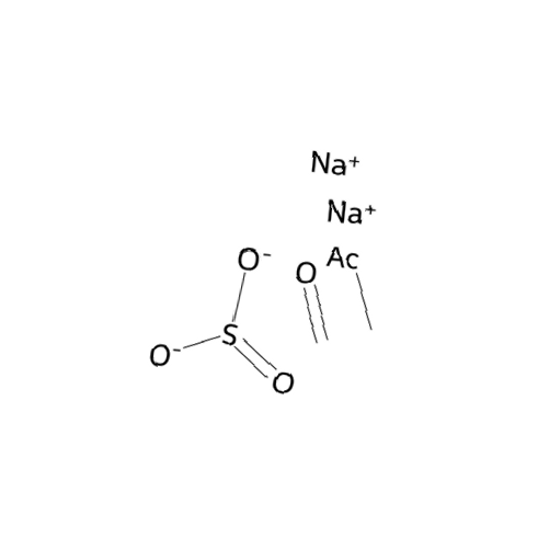 C=O.CC(C)=O.O=S([O-])[O-].[Na+].[Na+]